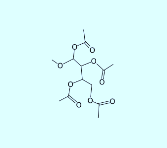 COC(OC(C)=O)C(OC(C)=O)C(COC(C)=O)OC(C)=O